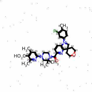 Cc1ccc(N2CC3(CCOCC3)c3nc(C(=O)N4CCN(c5cc(C)c(C(=O)O)c(C)n5)CC4(C)C)ccc32)cc1F